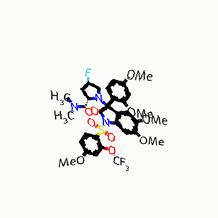 COc1ccc(C2(N3C[C@H](F)C[C@H]3C(=O)N(C)C)C(=O)N(S(=O)(=O)c3ccc(OC)cc3OC(F)(F)F)c3cc(OC)c(OC)cc32)c(OC)c1